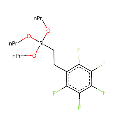 CCCO[Si](CCc1c(F)c(F)c(F)c(F)c1F)(OCCC)OCCC